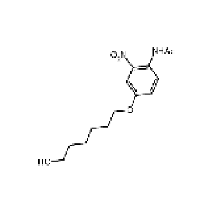 CC(=O)Nc1ccc(OCCCCCCO)cc1[N+](=O)[O-]